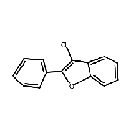 Clc1c(-c2ccccc2)oc2ccccc12